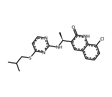 CC(C)CSc1ccnc(N[C@@H](C)c2cc3cccc(Cl)c3[nH]c2=O)n1